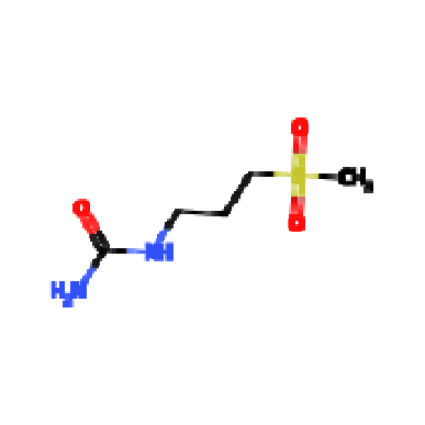 CS(=O)(=O)CCCNC(N)=O